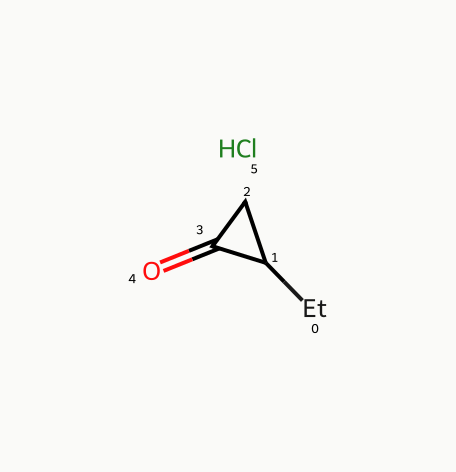 CCC1CC1=O.Cl